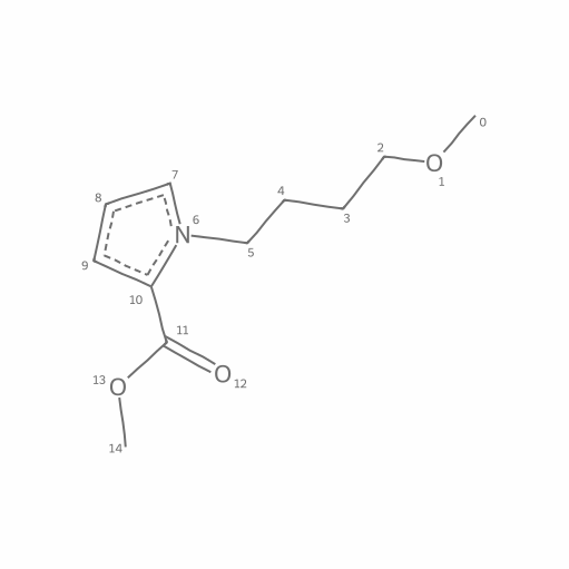 COCCCCn1cccc1C(=O)OC